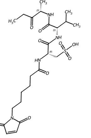 CCC(=O)[C@H](C)NC(=O)[C@@H](NC(=O)[C@H](CS(=O)(=O)O)NC(=O)CCCCCN1C(=O)C=CC1=O)C(C)C